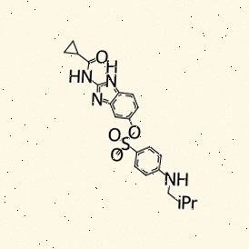 CC(C)CNc1ccc(S(=O)(=O)Oc2ccc3[nH]c(NC(=O)C4CC4)nc3c2)cc1